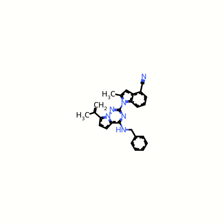 C=C(C)c1ccc2c(NCc3ccccc3)nc(-n3c(C)cc4c(C#N)cccc43)nn12